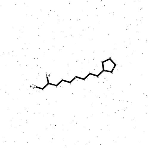 CCC(S)CCCCCCCC1CCCC1